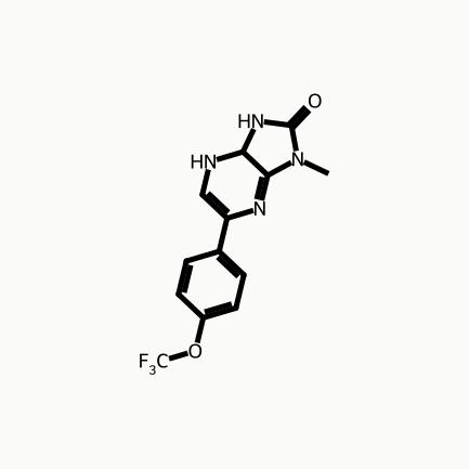 CN1C(=O)NC2NC=C(c3ccc(OC(F)(F)F)cc3)N=C21